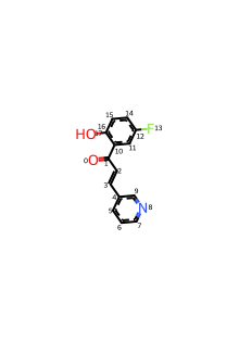 O=C(C=Cc1cccnc1)c1cc(F)ccc1O